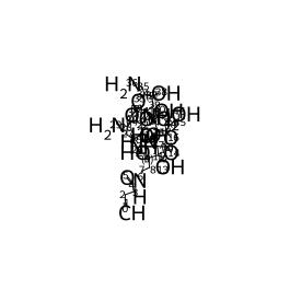 C#CCCC(=O)NCC[C@@H](O)C1C(O)O[C@H](OC2C(O)[C@H](OC3C(O)[C@H](N)CC(N)[C@H]3O[C@H]3OC(CN)[C@@H](O)C(O)C3N)O[C@@H]2CO)C1N